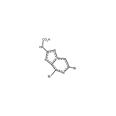 O=C(O)Nc1nc2c(Br)nc(Br)cn2n1